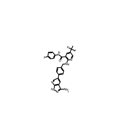 CC(F)(F)c1cnc(NCc2ccc(-c3cnc4[nH]nc(N)c4c3)cc2)c(C(=O)Nc2ccc(F)cc2)c1